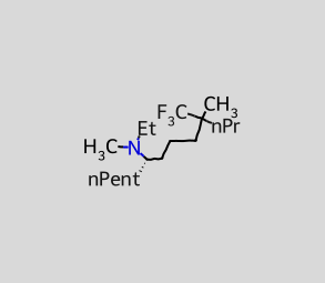 CCCCC[C@@H](CCCC(C)(CCC)C(F)(F)F)N(C)CC